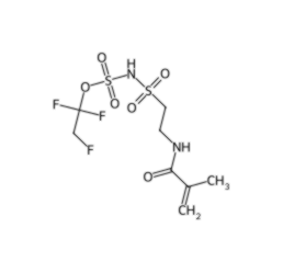 C=C(C)C(=O)NCCS(=O)(=O)NS(=O)(=O)OC(F)(F)CF